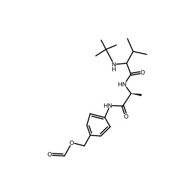 CC(C)C(NC(C)(C)C)C(=O)N[C@@H](C)C(=O)Nc1ccc(COC=O)cc1